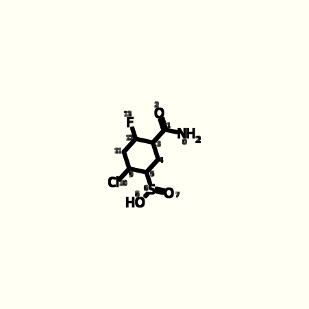 NC(=O)C1CC(S(=O)O)C(Cl)CC1F